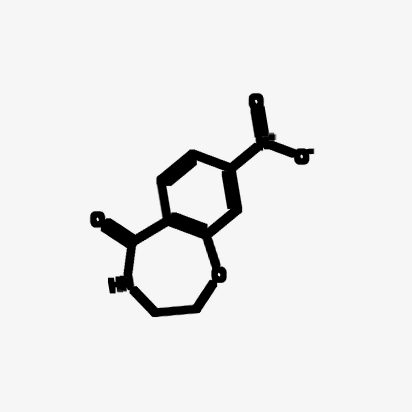 O=C1NCCOc2cc([N+](=O)[O-])ccc21